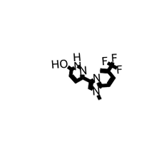 C=C(/C=C\c1nc(C2=NNC(O)C=C2)cn1C)C(F)(F)F